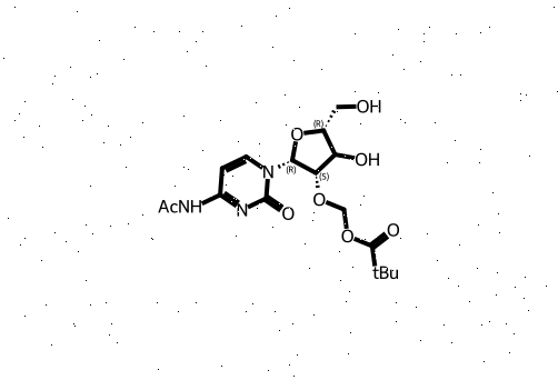 CC(=O)Nc1ccn([C@@H]2O[C@H](CO)C(O)[C@@H]2OCOC(=O)C(C)(C)C)c(=O)n1